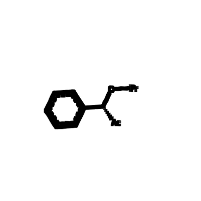 CC(=O)[C@@H](OC(C)C)c1ccccc1